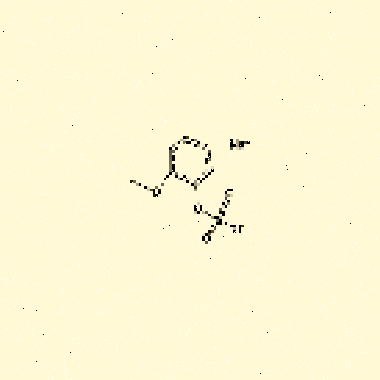 COc1ccccc1OS(=O)(=O)[O-].[Na+]